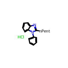 CCCCCc1nc2ccccc2n1-c1ccccc1.Cl